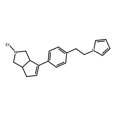 CCN1CC2CC=C(c3ccc(CCn4cccc4)cc3)C2C1